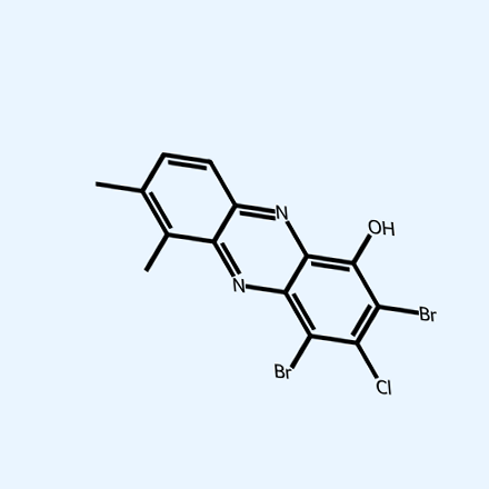 Cc1ccc2nc3c(O)c(Br)c(Cl)c(Br)c3nc2c1C